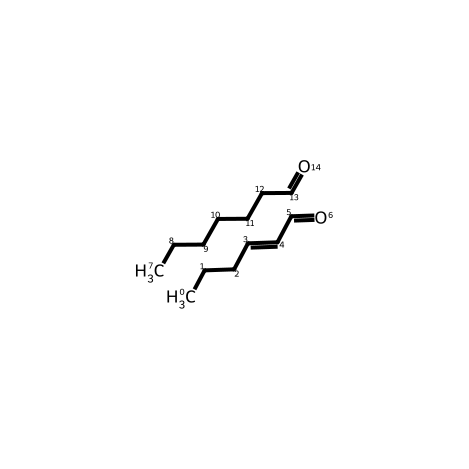 CCCC=CC=O.CCCCCCC=O